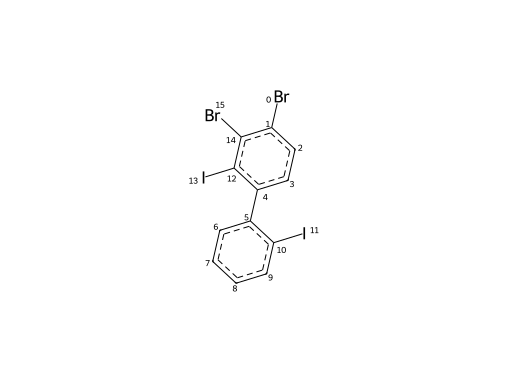 Brc1ccc(-c2ccccc2I)c(I)c1Br